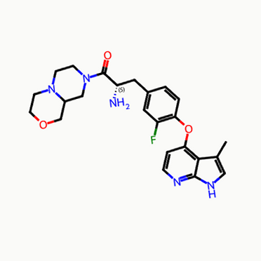 Cc1c[nH]c2nccc(Oc3ccc(C[C@H](N)C(=O)N4CCN5CCOCC5C4)cc3F)c12